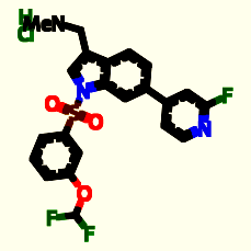 CNCc1cn(S(=O)(=O)c2cccc(OC(F)F)c2)c2cc(-c3ccnc(F)c3)ccc12.Cl